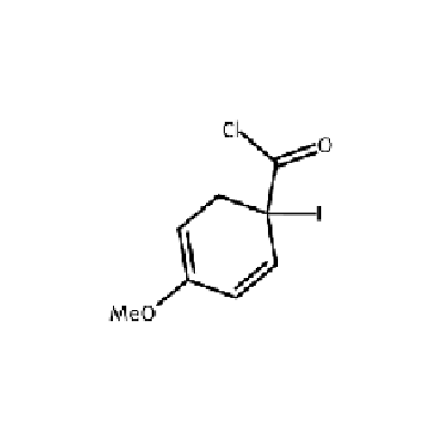 COC1=CCC(I)(C(=O)Cl)C=C1